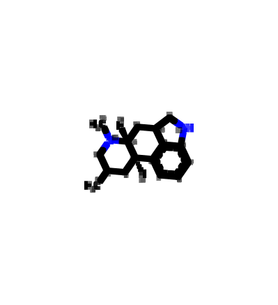 CC1C[C@@H]2c3cccc4c3C(CN4)C[C@H]2N(C)C1